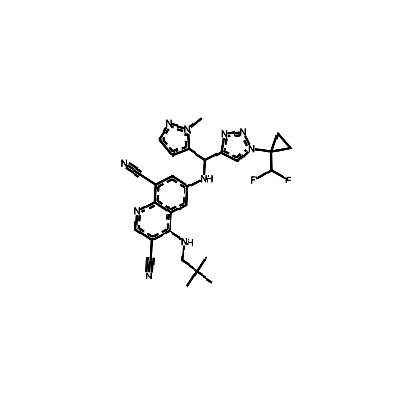 Cn1nccc1C(Nc1cc(C#N)c2ncc(C#N)c(NCC(C)(C)C)c2c1)c1cn(C2(C(F)F)CC2)nn1